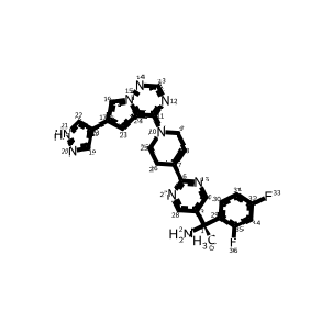 C[C@@](N)(c1cnc(C2=CCN(c3ncnn4cc(-c5cn[nH]c5)cc34)CC2)nc1)c1ccc(F)cc1F